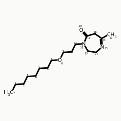 CCCCCCCCOCCCN1CCN=C(C)CC1=O